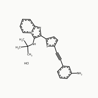 CC(C)(C)Nc1c(-c2ccc(C#Cc3cccc(N)c3)s2)nc2ccccn12.Cl